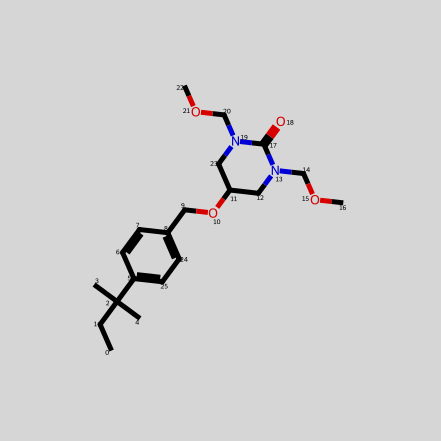 CCC(C)(C)c1ccc(COC2CN(COC)C(=O)N(COC)C2)cc1